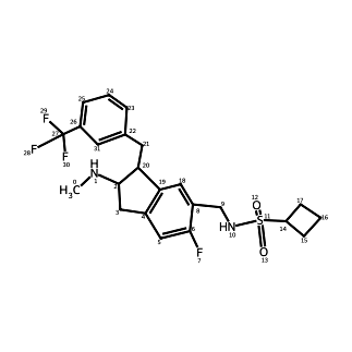 CNC1Cc2cc(F)c(CNS(=O)(=O)C3CCC3)cc2C1Cc1cccc(C(F)(F)F)c1